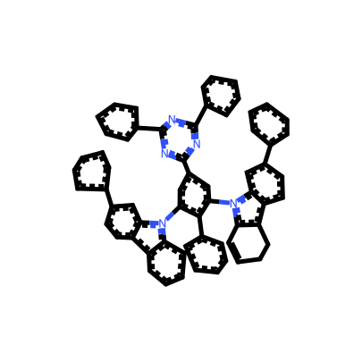 C1=Cc2c(c3ccc(-c4ccccc4)cc3n2-c2cc(-c3nc(-c4ccccc4)nc(-c4ccccc4)n3)cc(-n3c4ccccc4c4ccc(-c5ccccc5)cc43)c2-c2ccccc2)CC1